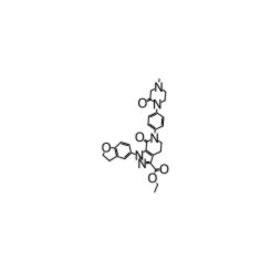 CCOC(=O)c1nn(-c2ccc3c(c2)CCO3)c2c1CCN(c1ccc(N3CCN(C)CC3=O)cc1)C2=O